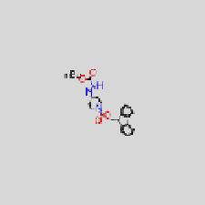 CCCCOC(=O)NN=C1CCN(C(=O)OCC2c3ccccc3-c3ccccc32)CC1